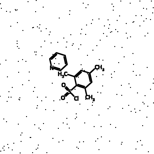 Cc1cc(C)c(S(=O)(=O)Cl)c(C)c1.c1ccncc1